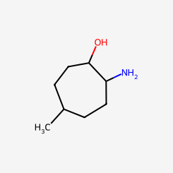 CC1CCC(N)C(O)CC1